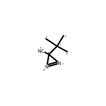 CC(C)(C)C1(C#N)N=N1